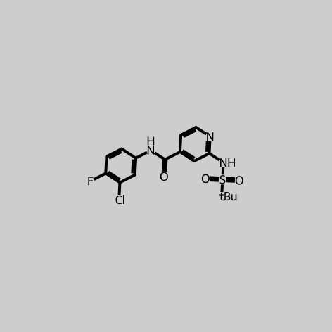 CC(C)(C)S(=O)(=O)Nc1cc(C(=O)Nc2ccc(F)c(Cl)c2)ccn1